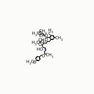 COc1ccc(CO[C@@H](C)C/C=C\C(O)C2OC(C)(C)O[C@H]2CCCc2cc(C)cc(C)c2C(=O)OCC[Si](C)(C)C)cc1